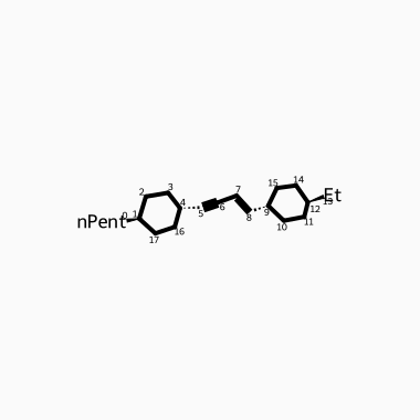 CCCCC[C@H]1CC[C@H](C#CC=C[C@H]2CC[C@H](CC)CC2)CC1